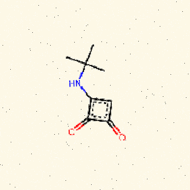 CC(C)(C)Nc1cc(=O)c1=O